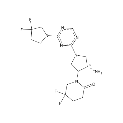 N[C@H]1CN(c2ncnc(N3CCC(F)(F)C3)n2)CC1N1CC(F)(F)CCC1=O